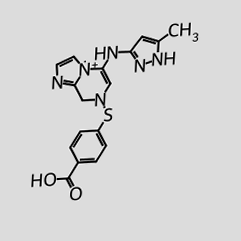 Cc1cc(NC2=CN(Sc3ccc(C(=O)O)cc3)CC3=NC=C[N+]23)n[nH]1